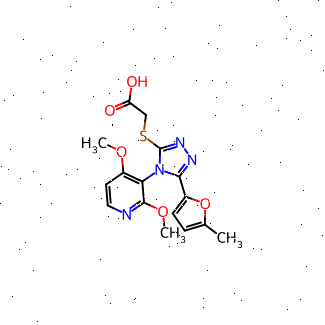 COc1ccnc(OC)c1-n1c(SCC(=O)O)nnc1-c1ccc(C)o1